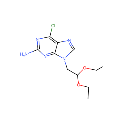 CCOC(Cn1cnc2c(Cl)nc(N)nc21)OCC